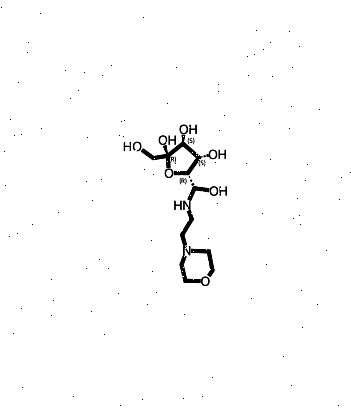 OC[C@@]1(O)O[C@@H](C(O)NCCN2CCOCC2)[C@@H](O)[C@@H]1O